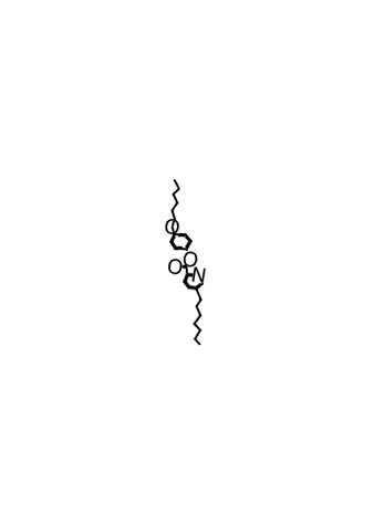 CCCCCCCc1ccc(C(=O)Oc2ccc(OCCCCCC)cc2)nc1